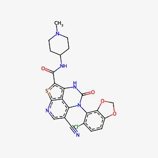 CN1CCC(NC(=O)c2sc3ncc(C#N)c4c3c2NC(=O)N4c2c(Cl)ccc3c2OCO3)CC1